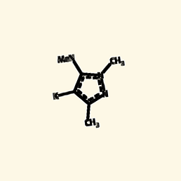 CNc1[c]([K])c(C)nn1C